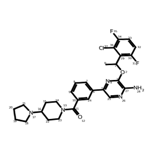 CC(Oc1nc(-c2cccc(C(=O)N3CCC(N4CCCC4)CC3)c2)cnc1N)c1c(F)ccc(F)c1Cl